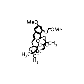 C=CCC(C)OC(=O)c1c(/C=C/C[C@@H]2OC(C)(C)OC2C=O)cc(OC)cc1OCOC